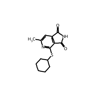 Cc1cc2c(c(SC3CCCCC3)n1)C(=O)NC2=O